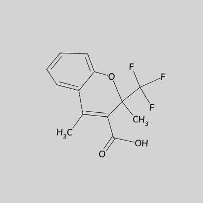 CC1=C(C(=O)O)C(C)(C(F)(F)F)Oc2ccccc21